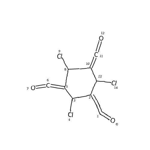 O=C=C1C(Cl)C(=C=O)C(Cl)C(=C=O)C1Cl